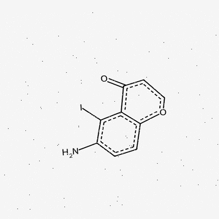 Nc1ccc2occc(=O)c2c1I